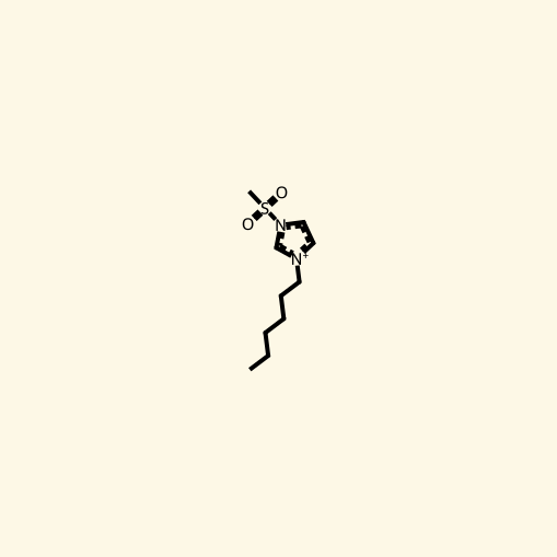 CCCCCC[n+]1ccn(S(C)(=O)=O)c1